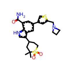 CC1(C)CC(c2c[nH]c3c(C(N)=O)cc(-c4csc(CN5CCC5)c4)cc23)CCS1(=O)=O